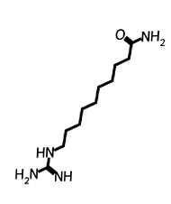 N=C(N)NCCCCCCCCCC(N)=O